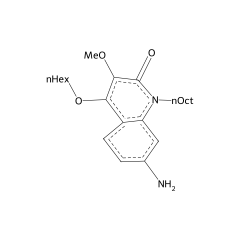 CCCCCCCCn1c(=O)c(OC)c(OCCCCCC)c2ccc(N)cc21